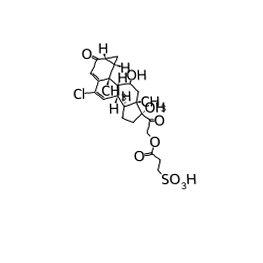 C[C@@]12C(=CC(=O)[C@@H]3C[C@@H]31)C(Cl)=C[C@@H]1[C@@H]2[C@@H](O)C[C@@]2(C)[C@H]1CC[C@]2(O)C(=O)COC(=O)CCS(=O)(=O)O